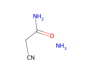 N.N#CCC(N)=O